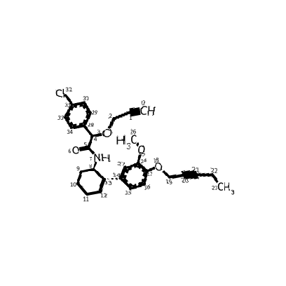 C#CCOC(C(=O)N[C@@H]1CCCC[C@H]1c1ccc(OCC#CCC)c(OC)c1)c1ccc(Cl)cc1